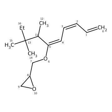 C=C/C=C\C=C(\OCC1CO1)C(C)C(C)(C)CC